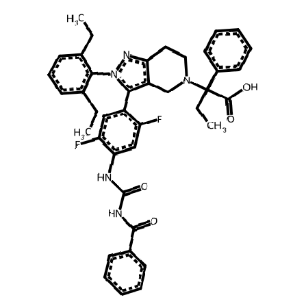 CCc1cccc(CC)c1-n1nc2c(c1-c1cc(F)c(NC(=O)NC(=O)c3ccccc3)cc1F)CN(C(CC)(C(=O)O)c1ccccc1)CC2